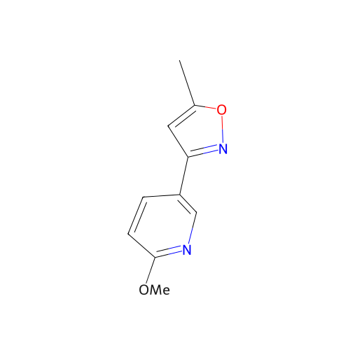 COc1ccc(-c2cc(C)on2)cn1